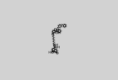 O=C(OCC1CCN(Cc2ccccc2)CC1)C(O)(c1ccccc1)c1cccc(OCCCCCCCCNC[C@@H](O)c2ccc(O)c3[nH]c(=O)ccc23)c1